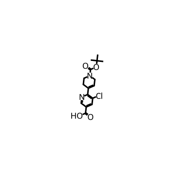 CC(C)(C)OC(=O)N1CC=C(c2ncc(C(=O)O)cc2Cl)CC1